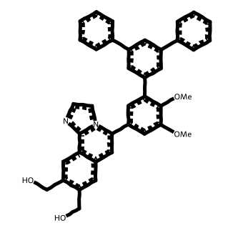 COc1cc(-c2cc3cc(CO)c(CO)cc3c3nccn23)cc(-c2cc(-c3ccccc3)cc(-c3ccccc3)c2)c1OC